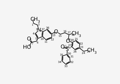 CCCn1cc(CC(=O)O)c2ccc(OCCC(C)Oc3ccc(CC)cc3[S+]([O-])c3ccccc3)cc21